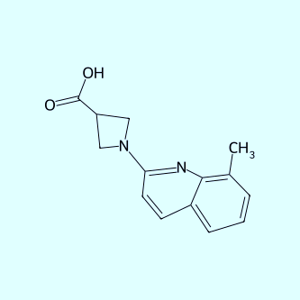 Cc1cccc2ccc(N3CC(C(=O)O)C3)nc12